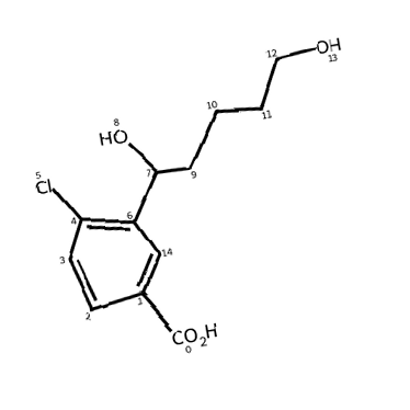 O=C(O)c1ccc(Cl)c(C(O)CCCCO)c1